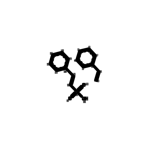 C=Cc1ccccc1.O=S(=O)(O)C=Cc1ccccc1